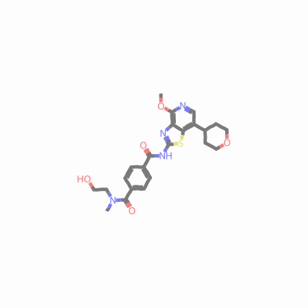 COc1ncc(C2CCOCC2)c2sc(NC(=O)c3ccc(C(=O)N(C)CCO)cc3)nc12